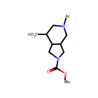 CC(=O)N1CC2CN(C(=O)OC(C)(C)C)CC2C(C(=O)O)C1